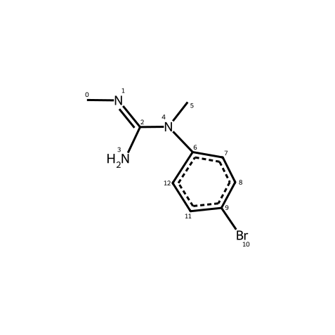 C/N=C(\N)N(C)c1ccc(Br)cc1